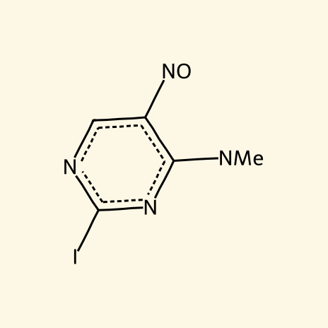 CNc1nc(I)ncc1N=O